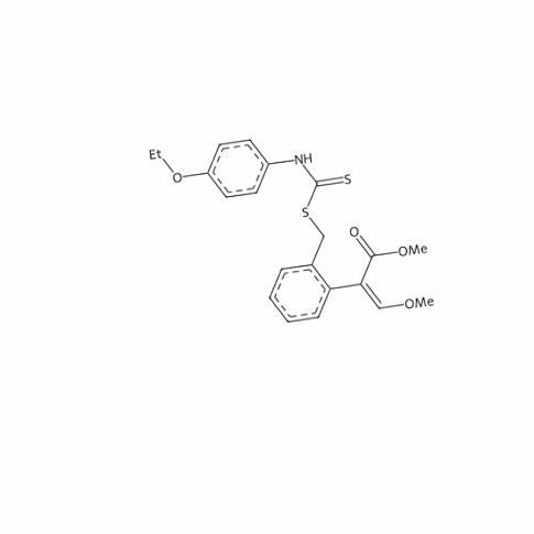 CCOc1ccc(NC(=S)SCc2ccccc2C(=COC)C(=O)OC)cc1